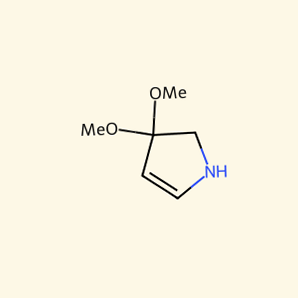 COC1(OC)C=CNC1